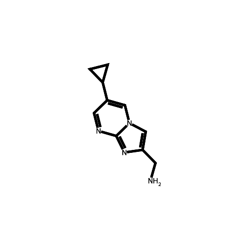 NCc1cn2cc(C3CC3)cnc2n1